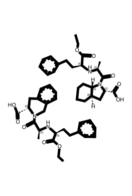 CCOC(=O)[C@H](CCc1ccccc1)N[C@@H](C)C(=O)N1Cc2ccccc2C[C@H]1C(=O)O.CCOC(=O)[C@H](CCc1ccccc1)N[C@@H](C)C(=O)N1[C@H](C(=O)O)C[C@H]2CCCC[C@@H]21